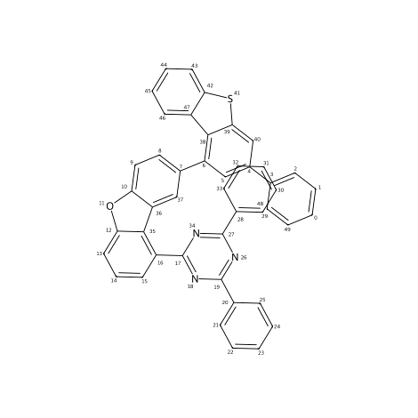 c1ccc(-c2cc(-c3ccc4oc5cccc(-c6nc(-c7ccccc7)nc(-c7ccccc7)n6)c5c4c3)c3c(c2)sc2ccccc23)cc1